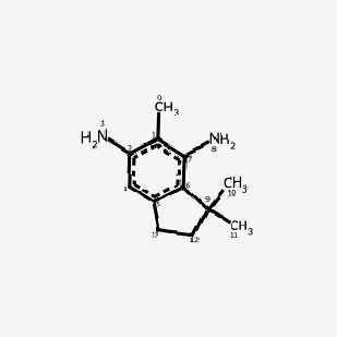 Cc1c(N)cc2c(c1N)C(C)(C)CC2